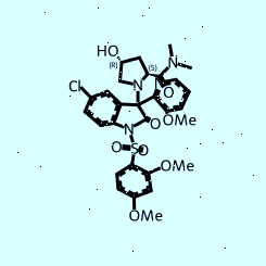 COc1ccc(S(=O)(=O)N2C(=O)C(c3ncccc3OC)(N3C[C@H](O)C[C@H]3C(=O)N(C)C)c3cc(Cl)ccc32)c(OC)c1